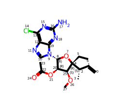 C=C[C@H](C)[C@@]1(CC)O[C@@H](n2cnc3c(Cl)nc(N)nc32)[C@H](OC(C)=O)[C@@H]1OC